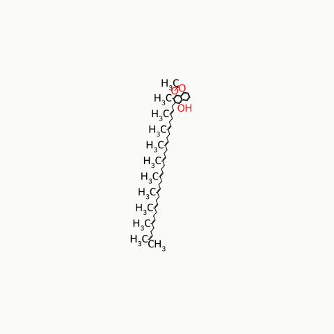 CC(=O)Oc1c(C)c(C/C=C(\C)CC/C=C(\C)CC/C=C(\C)CC/C=C(\C)CC/C=C(\C)CC/C=C(\C)CC/C=C(\C)CC/C=C(\C)CCC=C(C)C)c(O)c2ccccc12